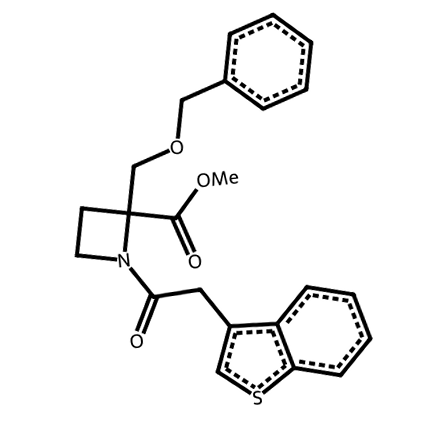 COC(=O)C1(COCc2ccccc2)CCN1C(=O)Cc1csc2ccccc12